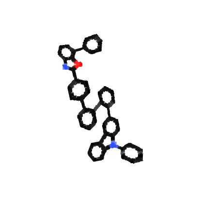 c1ccc(-c2cccc3nc(-c4ccc(-c5ccccc5-c5ccccc5-c5ccc6c(c5)c5ccccc5n6-c5ccccc5)cc4)oc23)cc1